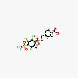 NS(=O)(=O)c1c(F)c(F)c(S(=O)(=O)CCc2ccc(C(=O)O)cc2)c(F)c1F